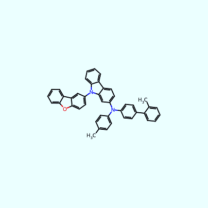 Cc1ccc(N(c2ccc(-c3ccccc3C)cc2)c2ccc3c4ccccc4n(-c4ccc5oc6ccccc6c5c4)c3c2)cc1